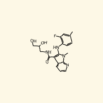 Cc1ccc(Nc2c(C(=O)NCC(O)CO)c3cccnc3n2C)c(F)c1